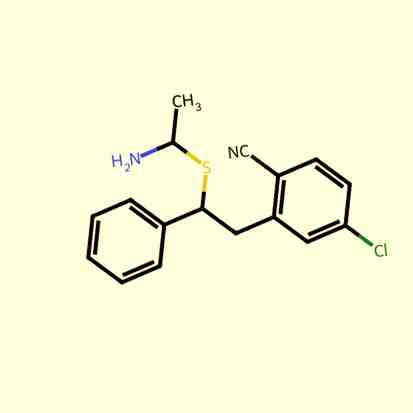 CC(N)SC(Cc1cc(Cl)ccc1C#N)c1ccccc1